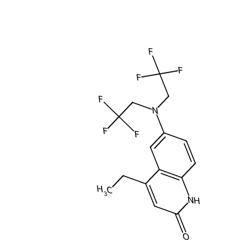 CCc1cc(=O)[nH]c2ccc(N(CC(F)(F)F)CC(F)(F)F)cc12